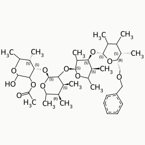 CC(=O)OC1C(O)OC(C)[C@H](C)[C@@H]1O[C@@H]1OC(C)[C@H](C)[C@H](C)C1O[C@@H]1OC(C)[C@H](C)[C@H](O[C@H]2O[C@@H](COCc3ccccc3)[C@@H](C)C(C)C2C)C1C